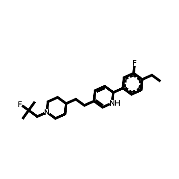 CCc1ccc(C2C=CC(CCC3CCN(CC(C)(C)F)CC3)=CN2)cc1F